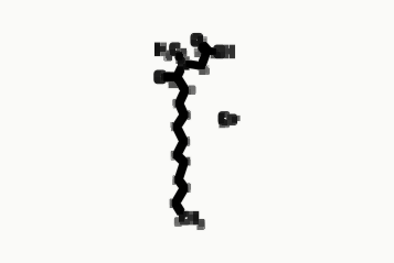 CCCCCCCCCCCC(=O)N(C)CC(=O)O.[Co]